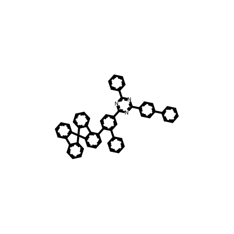 c1ccc(-c2ccc(-c3nc(-c4ccccc4)nc(-c4ccc(-c5cccc6c5-c5ccccc5C65c6ccccc6-c6ccccc65)c(-c5ccccc5)c4)n3)cc2)cc1